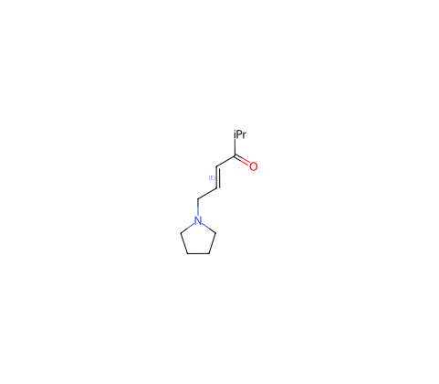 CC(C)C(=O)/C=C/CN1CCCC1